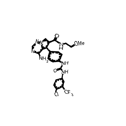 COCCNC(=O)c1cn2ncnc(N)c2c1-c1ccc(NC(=O)Nc2ccc(Cl)c(C(F)(F)F)c2)cc1